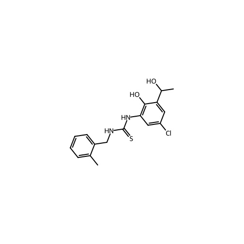 Cc1ccccc1CNC(=S)Nc1cc(Cl)cc(C(C)O)c1O